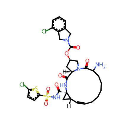 NC1CCCCC/C=C\[C@@H]2C[C@@]2(C(=O)NS(=O)(=O)c2ccc(Cl)s2)NC(=O)[C@@H]2C[C@@H](OC(=O)N3Cc4cccc(Cl)c4C3)CN2C1=O